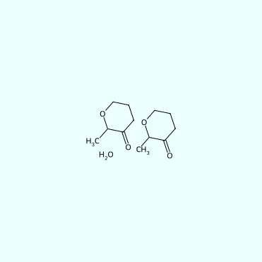 CC1OCCCC1=O.CC1OCCCC1=O.O